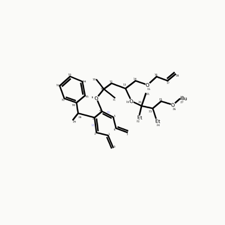 C=C/C=C(\C(=C/C=C)OC(C)(C)CC(COCC=C)OC(C)(CC)C(CC)COC(C)CC)C(C)c1ccccc1